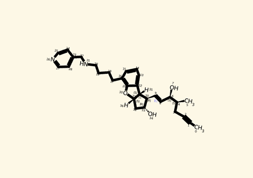 CC#CC[C@H](C)[C@H](O)/C=C/[C@@H]1[C@H]2c3cccc(CCCCNCc4ccncc4)c3O[C@H]2C[C@H]1O